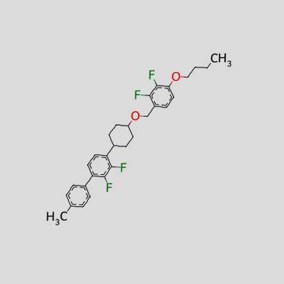 CCCCOc1ccc(COC2CCC(c3ccc(-c4ccc(C)cc4)c(F)c3F)CC2)c(F)c1F